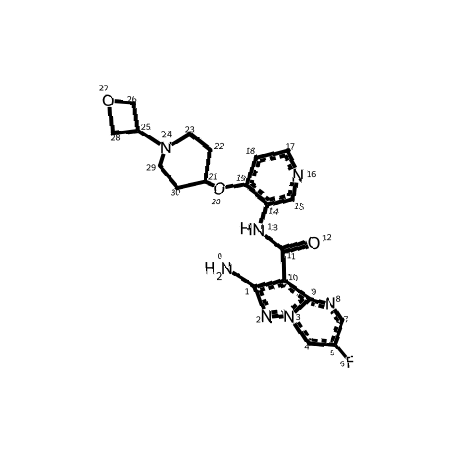 Nc1nn2cc(F)cnc2c1C(=O)Nc1cnccc1OC1CCN(C2COC2)CC1